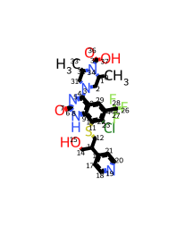 CC1CN(c2nc(=O)[nH]c3c(SCC(CO)c4ccncc4)c(Cl)c(C(F)(F)F)cc23)CC(C)N1C(=O)O